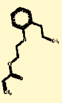 C=CC(=O)OCCOc1ccccc1CCC